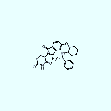 C[C@@H](N[C@@H]1CCCC[C@@H]1Oc1ccc2c(c1)CN(C1CCC(=O)NC1=O)C2=O)c1ccccc1